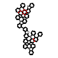 c1ccc(-c2ccccc2-c2ccccc2N(c2cccc3c2-c2ccccc2C32c3ccccc3-n3c4ccccc4c4cccc2c43)c2cccc3c2oc2ccc(-c4cccc5c4c4cccc6c4n5-c4ccccc4C64c5ccccc5-c5c(N(c6ccccc6-c6ccccc6-c6ccccc6)c6cccc7c6sc6ccccc67)cccc54)cc23)cc1